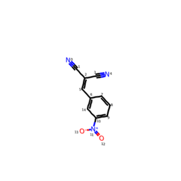 N#CC(C#N)=Cc1cccc([N+](=O)[O-])c1